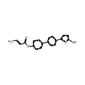 CC=CC(=O)Oc1ccc(-c2ccc(-c3ccc(CCC)s3)cc2)cc1